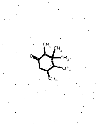 CC1CC(=O)C(C)C(C)(C)C1C